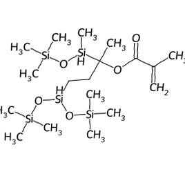 C=C(C)C(=O)OC(C)(CC[SiH](O[Si](C)(C)C)O[Si](C)(C)C)[SiH](C)O[Si](C)(C)C